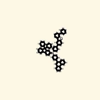 c1ccc(-c2cccc3c2oc2ccc(-c4ccc(N(c5ccc(-c6cc7ccccc7c7ccccc67)cc5)c5ccc6c(c5)C(c5ccccc5)(c5ccccc5)c5ccccc5-6)cc4)cc23)cc1